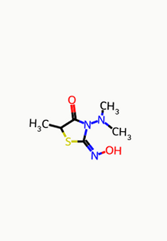 CC1S/C(=N/O)N(N(C)C)C1=O